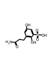 NC(=O)CCc1cc(O)cc(S(=O)(=O)O)c1O